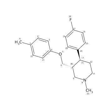 Cc1ccc(OC[C@H]2CN(C)CC[C@@H]2c2ccc(F)cc2)cc1